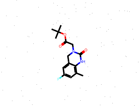 Cc1cc(F)cc2c1NC(=O)N(CC(=O)OC(C)(C)C)C2